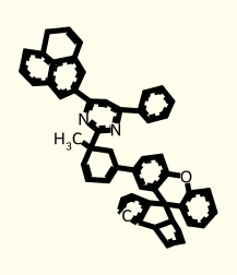 CC1(c2nc(-c3ccccc3)cc(-c3cc4c5c(cccc5c3)CC=C4)n2)C=CC=C(c2ccc3c(c2)C2(c4ccccc4O3)c3ccccc3C3C=CC=CC32)C1